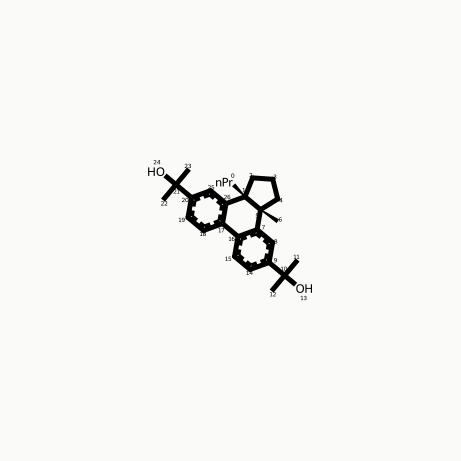 CCC[C@@]12CCC[C@]1(C)c1cc(C(C)(C)O)ccc1-c1ccc(C(C)(C)O)cc12